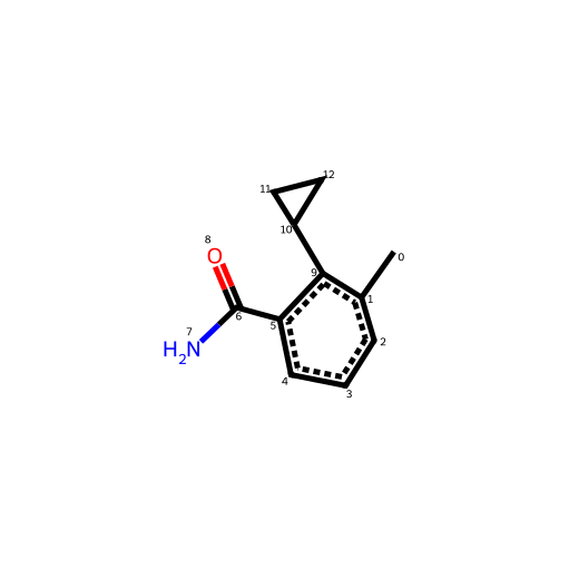 Cc1cccc(C(N)=O)c1C1CC1